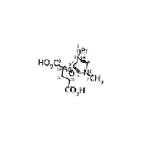 CC(=O)[O-].CCC[n+]1ccn(C)c1.O=C(O)CCCC(=O)O